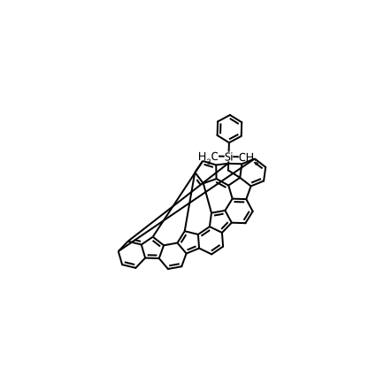 C[Si](C)(CC12C3=CC=C4C5C=Cc6c7c8c9c(c%10c1c1c3ccc3c%11ccc%12c%13ccc6c8c%13c6c%12c%11c(c13)c%10c96)C(C=75)C42)c1ccccc1